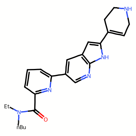 CCCCN(CC)C(=O)c1cccc(-c2cnc3[nH]c(C4=CCNCC4)cc3c2)n1